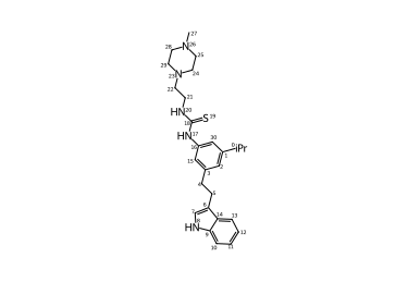 CC(C)c1cc(CCc2c[nH]c3ccccc23)cc(NC(=S)NCCN2CCN(C)CC2)c1